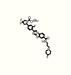 CC(C)(C)OC(=O)N1CC(F)(F)CC1c1ccc(-c2cn3c(n2)sc2cc(C(=O)NCCCN4CCC(F)CC4)ccc23)c(F)c1